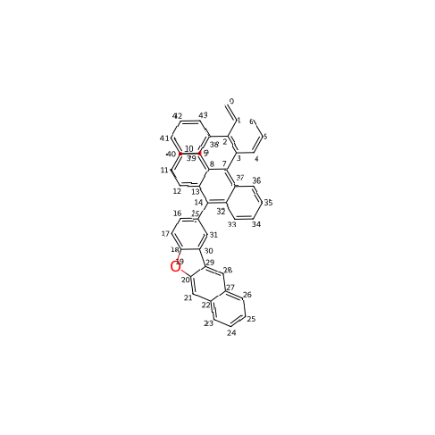 C=C/C(=C(\C=C/C)c1c2ccccc2c(-c2ccc3oc4cc5ccccc5cc4c3c2)c2ccccc12)c1ccccc1